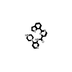 O=C(Nc1cnccc1N1CCNCC1)c1ccnc(-c2cccc3c2SCC3)n1